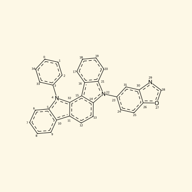 c1ccc(-n2c3ccccc3c3ccc4c(c5ccccc5n4-c4ccc5ocnc5c4)c32)cc1